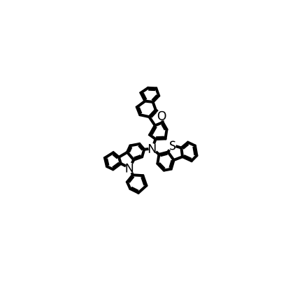 c1ccc(-n2c3ccccc3c3ccc(N(c4ccc5oc6c7ccccc7ccc6c5c4)c4cccc5c4sc4ccccc45)cc32)cc1